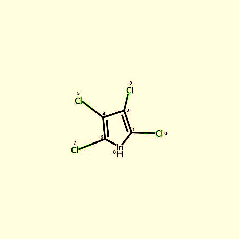 Cl[C]1=C(Cl)C(Cl)=[C](Cl)[InH]1